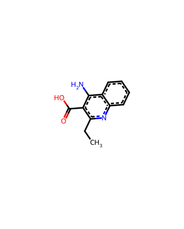 CCc1nc2ccccc2c(N)c1C(=O)O